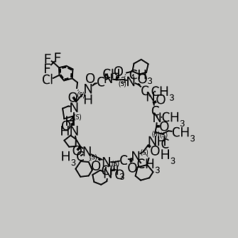 CC[C@H](C)[C@@H]1NC(=O)[C@H](CC2CCCCC2)N(C)C(=O)C[C@@H](C(=O)N2CCCCC2)N(C)C(=O)[C@H](C2CCCCC2)N(C)C(=O)C2(CCCC2)NC(=O)[C@@H]2CCCN2C(=O)[C@H](CCc2ccc(C(F)(F)F)c(Cl)c2)NC(=O)CN(C)C(=O)[C@H](CC2CCCCC2)N(C)C(=O)CN(C)C(=O)CN(C)C1=O